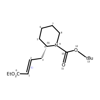 CCOC(=O)/C=C/C[C@@H]1CCCCN1C(=O)OC(C)(C)C